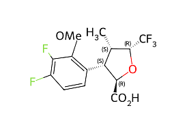 COc1c([C@@H]2[C@H](C)[C@H](C(F)(F)F)O[C@H]2C(=O)O)ccc(F)c1F